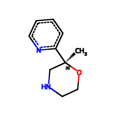 C[C@@]1(c2ccccn2)CNCCO1